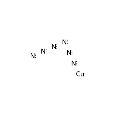 [Cu].[N].[N].[N].[N].[N].[N]